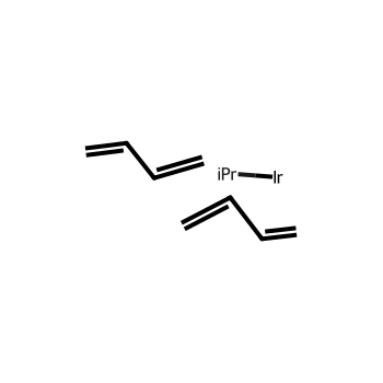 C=CC=C.C=CC=C.C[CH](C)[Ir]